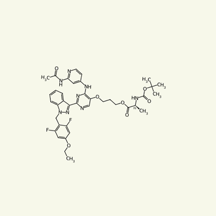 CCOc1cc(F)c(Cn2nc(-c3ncc(OCCCOC(=O)[C@H](C)NC(=O)OC(C)(C)C)c(Nc4ccnc(NC(C)=O)c4)n3)c3ccccc32)c(F)c1